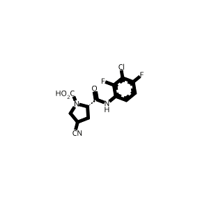 N#CC1C[C@@H](C(=O)Nc2ccc(F)c(Cl)c2F)N(C(=O)O)C1